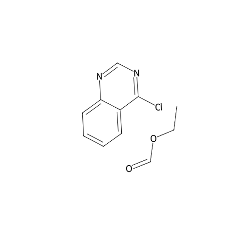 CCOC=O.Clc1ncnc2ccccc12